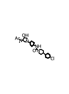 CC(=O)N(C)C1CN(c2ccc(NC(=O)N3CCC(c4ccc(Cl)cc4)CC3)cc2)CC1O